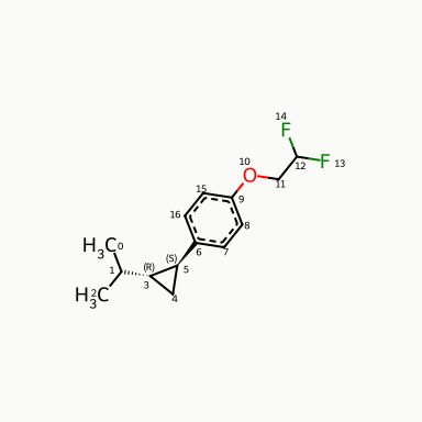 CC(C)[C@H]1C[C@@H]1c1ccc(OCC(F)F)cc1